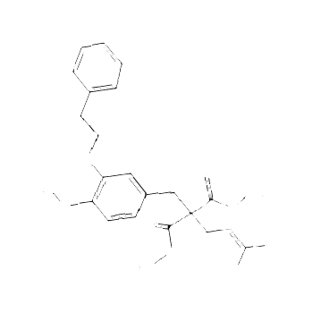 COC(=O)C(CC=C(C)C)(Cc1ccc(OC)c(OCCc2ccccc2)c1)C(=O)OC